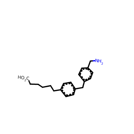 NCc1ccc(Cc2ccc(CCCCCC(=O)O)cc2)cc1